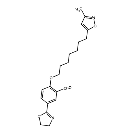 Cc1cc(CCCCCCCOc2ccc(C3=NCCO3)cc2C=O)on1